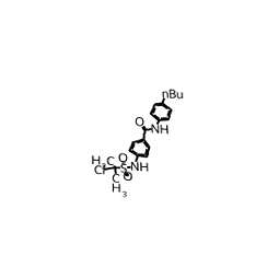 CCCCc1ccc(NC(=O)c2ccc(NS(=O)(=O)C(C)(C)Cl)cc2)cc1